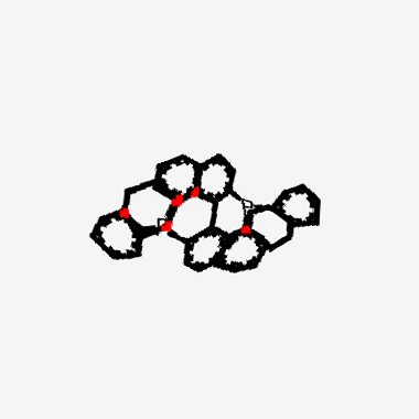 c1ccc(P(c2ccccc2)c2cccc(C3CCCCC3)c2-c2c(C3CCCCC3)cccc2P(c2ccccc2)c2ccccc2)cc1